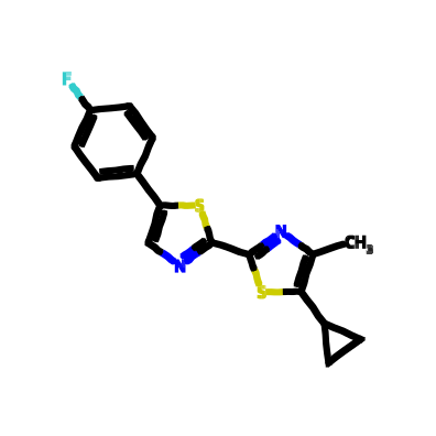 Cc1nc(-c2ncc(-c3ccc(F)cc3)s2)sc1C1CC1